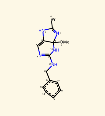 COC12N=C(C(C)C)NC1=CN=C(NCc1ccccc1)N2